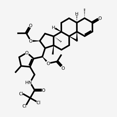 CC(=O)O[C@H]1C[C@@]2(C)[C@@H]3CC[C@H]4[C@H](C)C(=O)C=C[C@@]45C[C@@]35CC[C@]2(C)C1[C@@H](OC(C)=O)C1=C(CNC(=O)C(Cl)(Cl)Cl)C(C)CO1